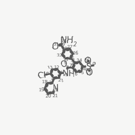 CS(=O)(=O)c1ccc(C(=O)Nc2ccc(Cl)c(-c3ccccn3)c2)c(-c2ccc(C(N)=O)cc2)c1